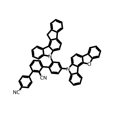 N#Cc1ccc(-c2cccc(-c3ccc(-n4c5ccccc5c5c6oc7ccccc7c6ccc54)cc3-n3c4ccccc4c4c5c(ccc43)-c3ccccc3C5)c2C#N)cc1